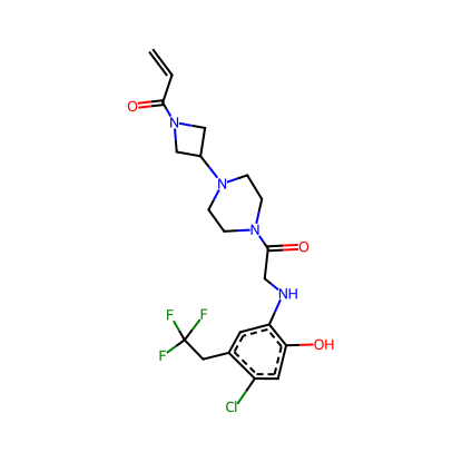 C=CC(=O)N1CC(N2CCN(C(=O)CNc3cc(CC(F)(F)F)c(Cl)cc3O)CC2)C1